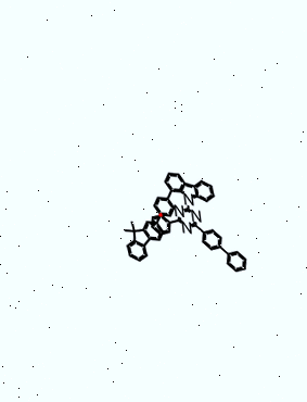 CC1(C)c2ccccc2-c2ccc(-c3ccc(-c4cccc5c6ccccc6n(-c6nc(-c7ccccc7)nc(-c7ccc(-c8ccccc8)cc7)n6)c45)cc3)cc21